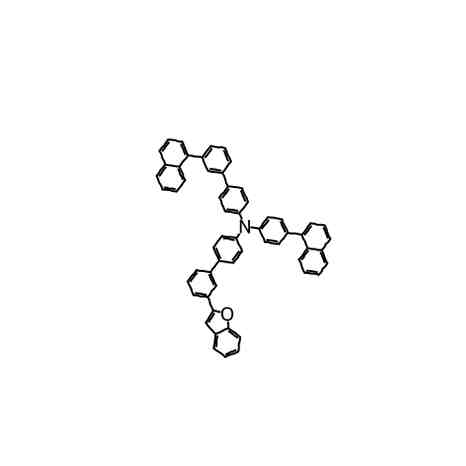 c1cc(-c2ccc(N(c3ccc(-c4cccc(-c5cccc6ccccc56)c4)cc3)c3ccc(-c4cccc5ccccc45)cc3)cc2)cc(-c2cc3ccccc3o2)c1